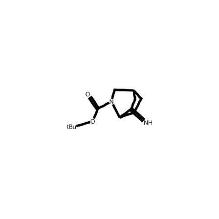 CC(C)(C)OC(=O)N1CC2CCC1C(=N)C2